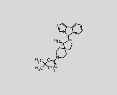 CC(C)(C)OC(=O)N1CCC2(CC[C@@H]([C@H]3c4ccccc4-c4cncn43)[C@@H]2O)CC1